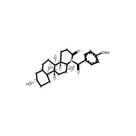 COc1ccc(C(=O)N2C(=O)CC[C@H]3[C@@H]4CCC5C[C@@H](O)CC[C@]5(C)[C@H]4CC[C@@]32C)cc1